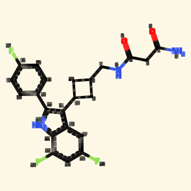 NC(=O)CC(=O)NCC1CC(c2c(-c3ccc(F)cc3)[nH]c3c(F)cc(F)cc23)C1